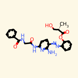 C[C@@H](CO)C(=O)Oc1ccccc1/N=N/c1ccc(NC(=O)CNC(=O)c2ccccc2)nc1N